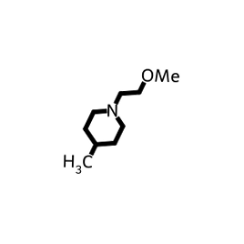 COCCN1CCC(C)CC1